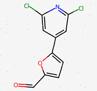 O=Cc1ccc(-c2cc(Cl)nc(Cl)c2)o1